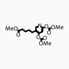 COC(=O)CCCCc1cnc(OC(=O)OC)cc1OC(=O)OC